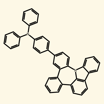 c1ccc(N(c2ccccc2)c2ccc(-c3ccc4c(c3)-c3ccccc3-c3cccc5c6ccccc6n-4c35)cc2)cc1